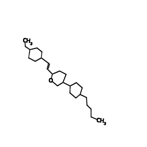 CCCCCC1CCC(C2CCC(C=CC3CCC(CC)CC3)OC2)CC1